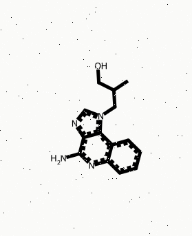 CC(CO)Cn1cnc2c(N)nc3ccccc3c21